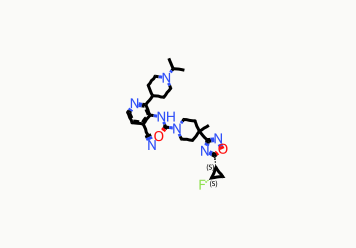 CC(C)N1CCC(c2nccc(C#N)c2NC(=O)N2CCC(C)(c3noc([C@@H]4C[C@@H]4F)n3)CC2)CC1